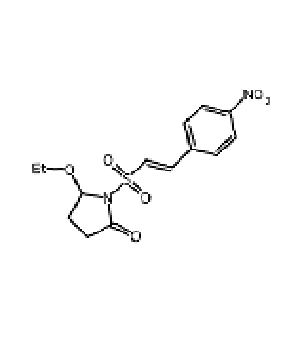 CCOC1CCC(=O)N1S(=O)(=O)C=Cc1ccc([N+](=O)[O-])cc1